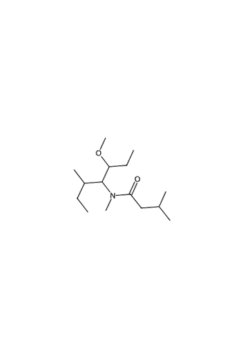 CCC(C)C(C(CC)OC)N(C)C(=O)CC(C)C